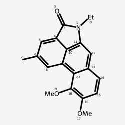 CCN1C(=O)c2cc(C)cc3c2c1cc1ccc(OC)c(OC)c13